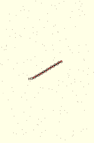 COCCOCCOCCOCCOCCOCCOCCOCCOCCOCCOCCOCCOCCOCCOCCO